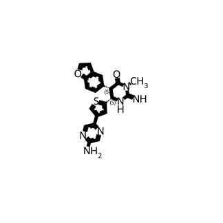 CN1C(=N)N[C@H](c2cc(-c3cnc(N)cn3)cs2)[C@H](c2ccc3occc3c2)C1=O